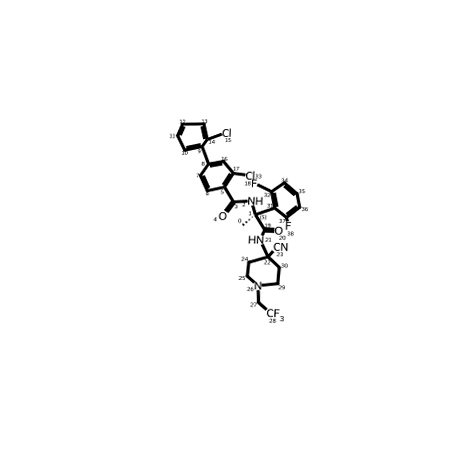 C[C@@](NC(=O)c1ccc(-c2ccccc2Cl)cc1Cl)(C(=O)NC1(C#N)CCN(CC(F)(F)F)CC1)c1c(F)cccc1F